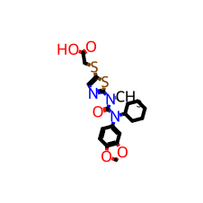 CN(C(=O)N(c1ccc2c(c1)OCO2)C1CCCCC1)c1ncc(SCC(=O)O)s1